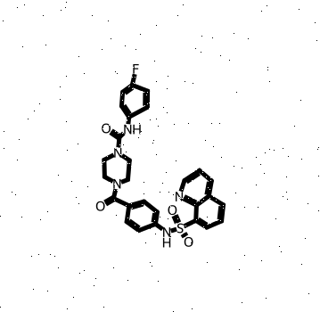 O=C(Nc1ccc(F)cc1)N1CCN(C(=O)c2ccc(NS(=O)(=O)c3cccc4cccnc34)cc2)CC1